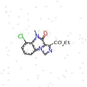 CCOC(=O)c1ncn2c1c(=O)n(C)c1c(Cl)cccc12